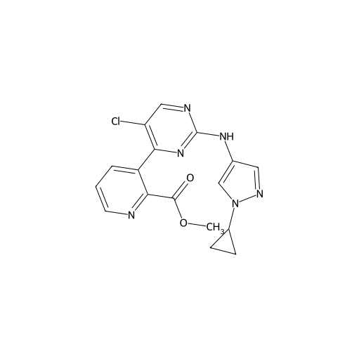 COC(=O)c1ncccc1-c1nc(Nc2cnn(C3CC3)c2)ncc1Cl